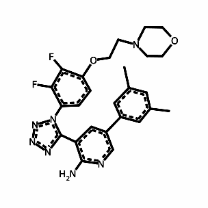 Cc1cc(C)cc(-c2cnc(N)c(-c3nnnn3-c3ccc(OCCN4CCOCC4)c(F)c3F)c2)c1